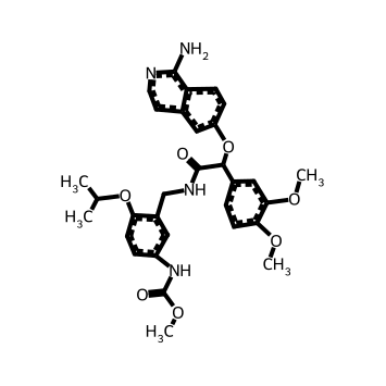 COC(=O)Nc1ccc(OC(C)C)c(CNC(=O)C(Oc2ccc3c(N)nccc3c2)c2ccc(OC)c(OC)c2)c1